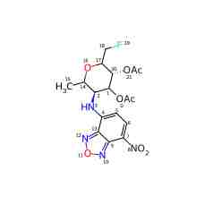 CC(=O)OC1[C@@H](Nc2ccc([N+](=O)[O-])c3nonc23)C(C)OC(CF)[C@@H]1OC(C)=O